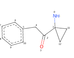 [NH]C1(C(=O)Cc2ccccc2)CC1